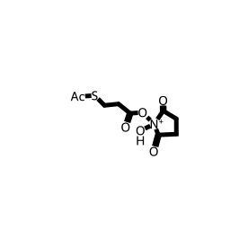 CC(=O)SCCC(=O)O[N+]1(O)C(=O)CCC1=O